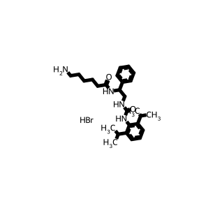 Br.CC(C)c1cccc(C(C)C)c1NC(=O)NCC(NC(=O)CCCCCN)c1ccccc1